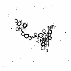 CC(C)N(C)[C@@H]1CC[C@H](N2CC[C@H](Nc3ncnc4ccc(C(F)(F)F)cc34)C2=O)[C@H](NC(=O)[C@H]2CC[C@H](NC(=O)CCO[C@H]3CC[C@@H](OCCNC(=O)[C@H]4CC(=O)N(C)[C@@H]4c4cccnc4)CC3)CC2)C1